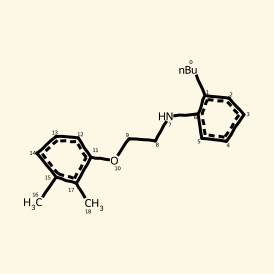 CCCCc1ccccc1NCCOc1cccc(C)c1C